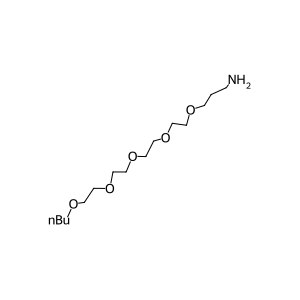 CCCCOCCOCCOCCOCCOCCCN